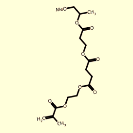 C=C(C)C(=O)OCCOC(=O)CCC(=O)OCCC(=O)OC(C)COC